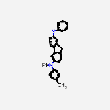 CCN(c1ccc(C)cc1)c1ccc2c(c1)-c1ccc(Nc3ccccc3)cc1C2